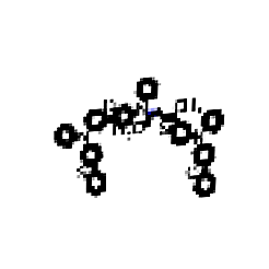 C=C/C(=C\c1sc2ccc(N(c3ccccc3)c3ccc4c(c3)oc3ccccc34)cc2c1C)N(c1ccccc1)c1ccc2c(c1)oc1ccc(N(c3ccccc3)c3ccc4c(c3)sc3ccccc34)cc12